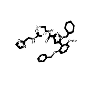 COc1cccc(OCc2ccccc2)c1-c1cc(C(=O)N[C@H](CC(=O)NCc2ncco2)CC(C)C)nn1CC1CCCCC1